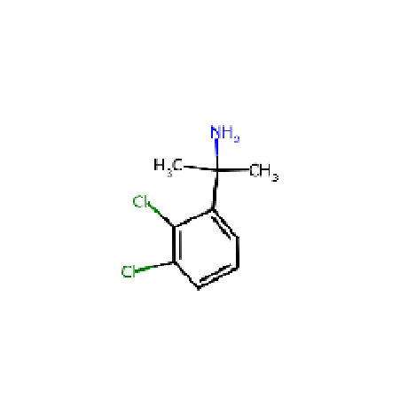 CC(C)(N)c1cccc(Cl)c1Cl